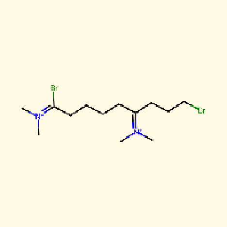 C[N+](C)=C(Br)CCCCC(CCCBr)=[N+](C)C